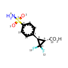 NS(=O)(=O)c1ccc([C@H]2[C@H](C(=O)O)C2(F)F)cc1